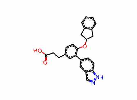 O=C(O)CCc1ccc(OC2Cc3ccccc3C2)c(-c2ccc3[nH]ncc3c2)c1